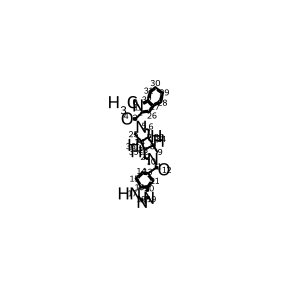 Cn1c(C(=O)N2C[C@@H]3[C@H]4CN(C(=O)c5ccc6[nH]nnc6c5)C[C@H]4[C@@H]3C2)cc2ccccc21